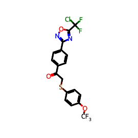 O=C(CSc1ccc(OC(F)(F)F)cc1)c1ccc(-c2noc(C(F)(F)Cl)n2)cc1